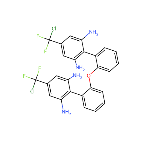 Nc1cc(C(F)(F)Cl)cc(N)c1-c1ccccc1Oc1ccccc1-c1c(N)cc(C(F)(F)Cl)cc1N